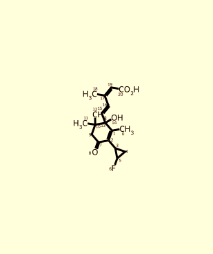 CC1=C(C2CC2F)C(=O)CC(C)(C)C1(O)/C=C/C(C)=C\C(=O)O